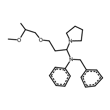 COC(C)COCCC(N1CCCC1)N(Cc1ccccc1)c1ccccc1